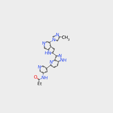 CCC(=O)Nc1cncc(-c2ccc3[nH]nc(-c4cc5c(-n6cnc(C)c6)cncc5[nH]4)c3n2)c1